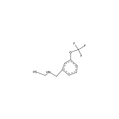 FC(F)(F)Oc1cccc(CNCS)c1